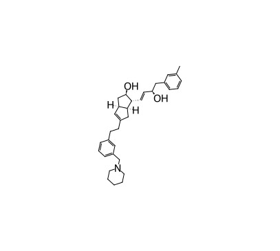 Cc1cccc(C[C@@H](O)/C=C/[C@@H]2[C@H]3CC(CCc4cccc(CN5CCCCC5)c4)=C[C@H]3C[C@H]2O)c1